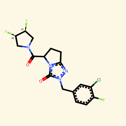 O=C(C1CCc2nn(Cc3ccc(F)c(Cl)c3)c(=O)n21)N1C[C@@H](F)[C@@H](F)C1